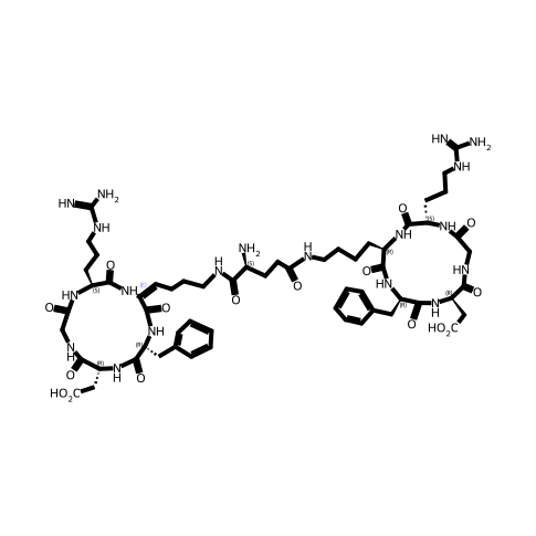 N=C(N)NCCC[C@@H]1NC(=O)CNC(=O)[C@@H](CC(=O)O)NC(=O)[C@@H](Cc2ccccc2)NC(=O)/C(=C\CCCNC(=O)[C@@H](N)CCC(=O)NCCCC[C@H]2NC(=O)[C@H](CCCNC(=N)N)NC(=O)CNC(=O)[C@@H](CC(=O)O)NC(=O)[C@@H](Cc3ccccc3)NC2=O)NC1=O